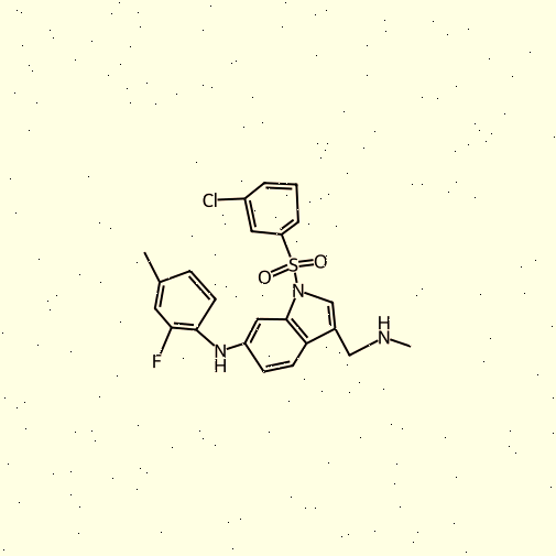 CNCc1cn(S(=O)(=O)c2cccc(Cl)c2)c2cc(Nc3ccc(C)cc3F)ccc12